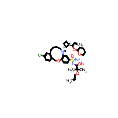 C=CCOC(C)(C)C(O)N=S(N)(=O)c1ccc2c(c1)N(C[C@@H]1CC[C@H]1C(C=C)OC1CCCCO1)CCCCc1cc(Cl)ccc1CO2